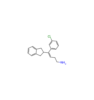 NCCC=C(c1cccc(Cl)c1)C1Cc2ccccc2C1